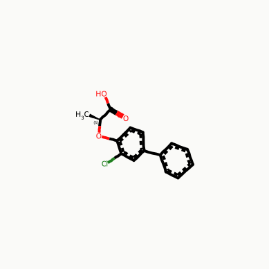 C[C@H](Oc1ccc(-c2ccccc2)cc1Cl)C(=O)O